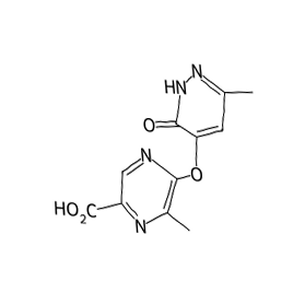 Cc1cc(Oc2ncc(C(=O)O)nc2C)c(=O)[nH]n1